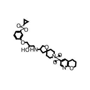 O=S(=O)(c1cccc(OCC(O)CNC2COC3(CCN(S(=O)(=O)c4cnc5c(c4)CCCO5)CC3)C2)c1)C1CC1